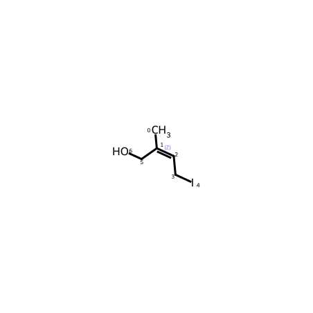 C/C(=C/CI)CO